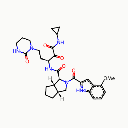 COc1cccc2[nH]c(C(=O)N3C[C@@H]4CCC[C@@H]4[C@H]3C(=O)N[C@@H](CCN3CCCNC3=O)C(=O)C(=O)NC3CC3)cc12